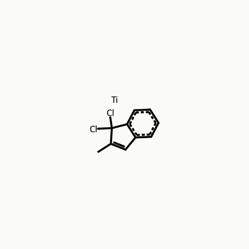 CC1=Cc2ccccc2C1(Cl)Cl.[Ti]